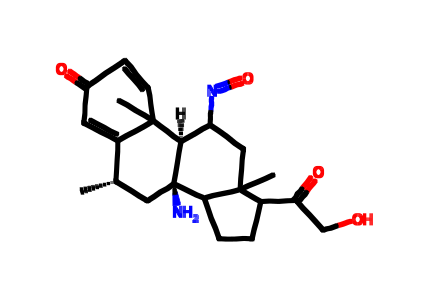 C[C@H]1C[C@@]2(N)C3CCC(C(=O)CO)C3(C)CC(N=O)[C@@H]2C2(C)C=CC(=O)C=C12